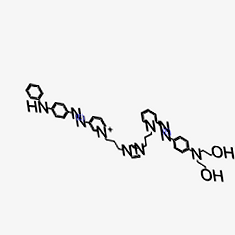 OCCN(CCO)c1ccc(/N=N/c2cccc[n+]2CCCn2cc[n+](CCC[n+]3cccc(/N=N/c4ccc(Nc5ccccc5)cc4)c3)c2)cc1